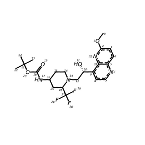 COc1ccc2nccc([C@@H](O)CN3CCC(NC(=O)OC(C)(C)C)CC3C(F)(F)F)c2n1